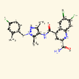 Cc1cc(F)ccc1Cn1nc(C(F)(F)F)c(NC(=O)c2cc(C(N)=O)nc3cc(F)c(Cl)cc23)c1C